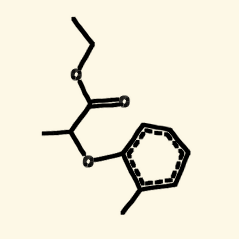 CCOC(=O)C(C)Oc1ccccc1C